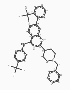 FC(F)(F)c1ccc(Nc2nc(C3CCN(Cc4ccncc4)CC3)nc3cc(-c4ncccc4C(F)(F)F)ccc23)cc1